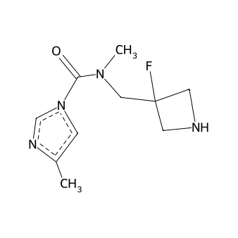 Cc1cn(C(=O)N(C)CC2(F)CNC2)cn1